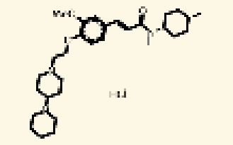 COc1cc(C=CC(=O)N[C@H]2CC[C@H](C)CC2)ccc1OCCN1CCC(N2CCCCC2)CC1.Cl